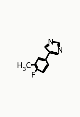 Cc1cc(-c2cncnc2)ccc1F